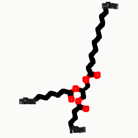 CCCCCCCCCCCCCCCCCCCCC(=O)OC[C@@H](COC(=O)CCCCCCCCCCCCC)OC(=O)CCCCCCCCCCCCCCC